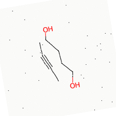 CC#CC.OCCCCO